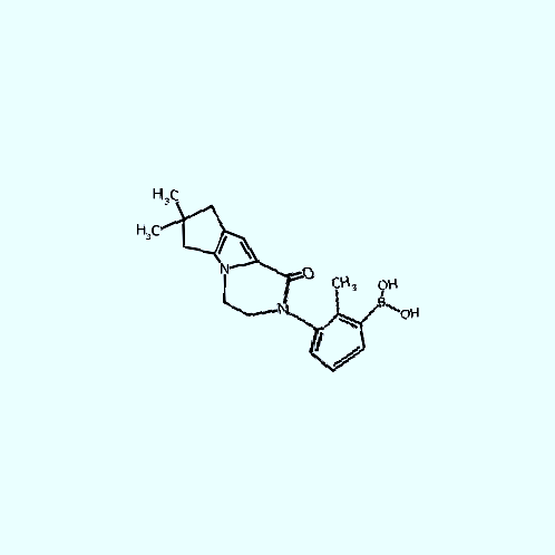 Cc1c(B(O)O)cccc1N1CCn2c(cc3c2CC(C)(C)C3)C1=O